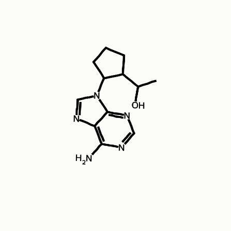 CC(O)C1CCCC1n1cnc2c(N)ncnc21